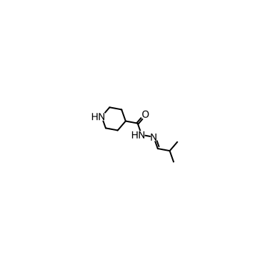 CC(C)/C=N/NC(=O)C1CCNCC1